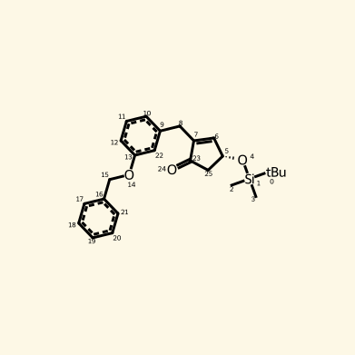 CC(C)(C)[Si](C)(C)O[C@H]1C=C(Cc2cccc(OCc3ccccc3)c2)C(=O)C1